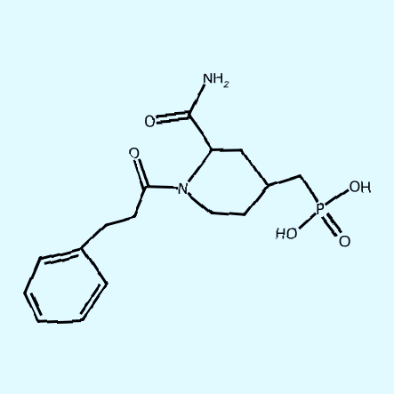 NC(=O)C1CC(CP(=O)(O)O)CCN1C(=O)CCc1ccccc1